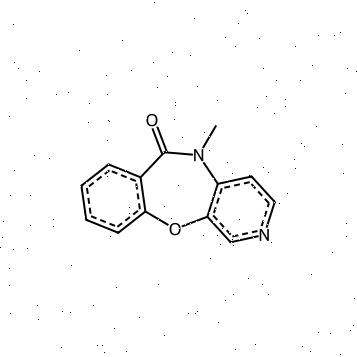 CN1C(=O)c2ccccc2Oc2cnccc21